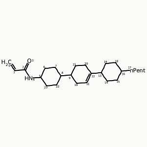 C=CC(=O)NC1CCC(C2CC=C(C3CCC(CCCCC)CC3)CC2)CC1